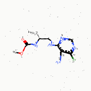 CC(C)(C)OC(=O)N[C@@H](CNc1ncnc(Cl)c1N)C(=O)O